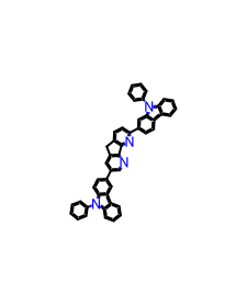 c1ccc(-n2c3ccccc3c3cc(-c4cnc5c(c4)Cc4ccc(-c6ccc7c8ccccc8n(-c8ccccc8)c7c6)nc4-5)ccc32)cc1